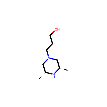 C[C@@H]1CN(CCCO)C[C@H](C)N1